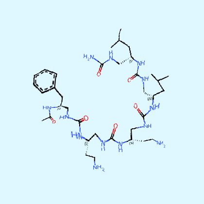 CC(=O)N[C@H](CNC(=O)N[C@@H](CCN)CNC(=O)N[C@@H](CCN)CNC(=O)N[C@H](CNC(=O)N[C@H](CNC(N)=O)CC(C)C)CC(C)C)Cc1ccccc1